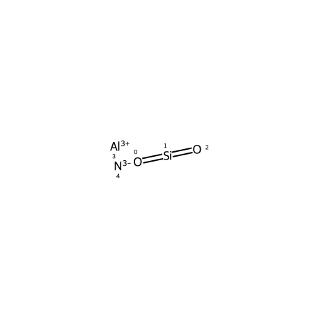 O=[Si]=O.[Al+3].[N-3]